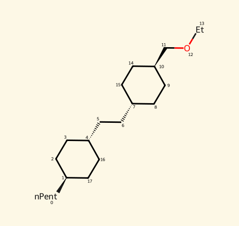 CCCCC[C@H]1CC[C@H](CC[C@H]2CC[C@H](COCC)CC2)CC1